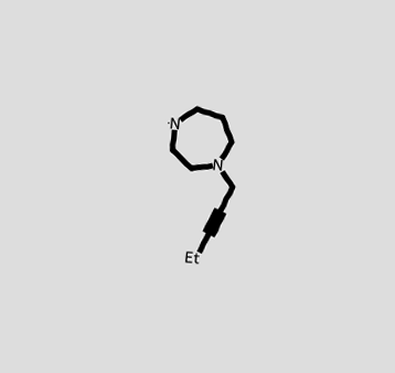 CCC#CCN1CCC[N]CC1